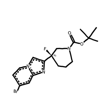 CC(C)(C)OC(=O)N1CCC[C@](F)(c2cn3ccc(Br)cc3n2)C1